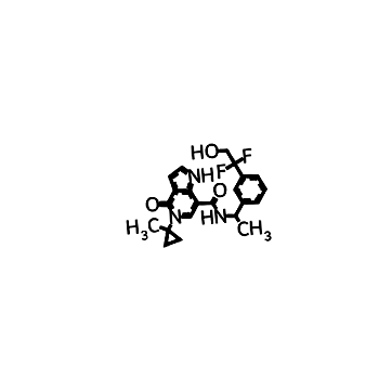 CC(NC(=O)c1cn(C2(C)CC2)c(=O)c2cc[nH]c12)c1cccc(C(F)(F)CO)c1